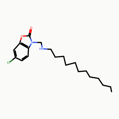 CCCCCCCCCCCCNCn1c(=O)oc2cc(Cl)ccc21